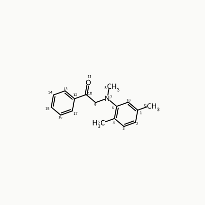 Cc1ccc(C)c(N(C)CC(=O)c2ccccc2)c1